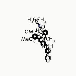 COc1cc(OC)c(Cl)c(-c2cc3cnc(Nc4ccc(N5CCOCC5)cn4)cc3n(C(C)c3cccc(NC(=O)/C=C/CN(C)C)c3)c2=O)c1Cl